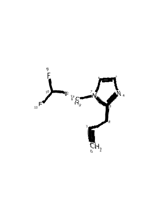 C=CCc1nccn1C.FC(F)F